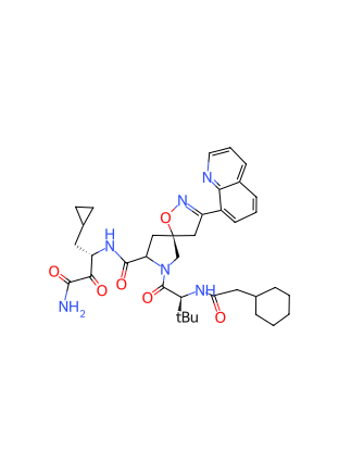 CC(C)(C)[C@H](NC(=O)CC1CCCCC1)C(=O)N1C[C@@]2(CC(c3cccc4cccnc34)=NO2)CC1C(=O)N[C@@H](CC1CC1)C(=O)C(N)=O